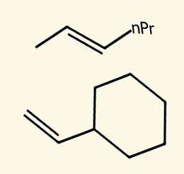 C/C=C/CCC.C=CC1CCCCC1